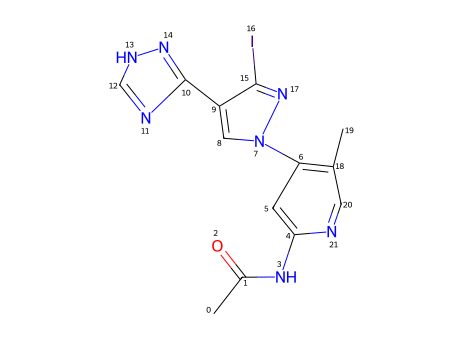 CC(=O)Nc1cc(-n2cc(-c3nc[nH]n3)c(I)n2)c(C)cn1